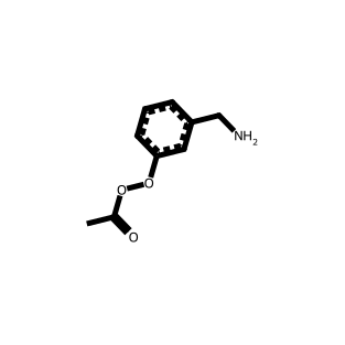 CC(=O)OOc1cccc(CN)c1